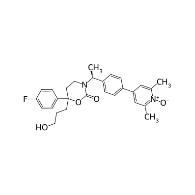 Cc1cc(-c2ccc([C@H](C)N3CCC(CCCO)(c4ccc(F)cc4)OC3=O)cc2)cc(C)[n+]1[O-]